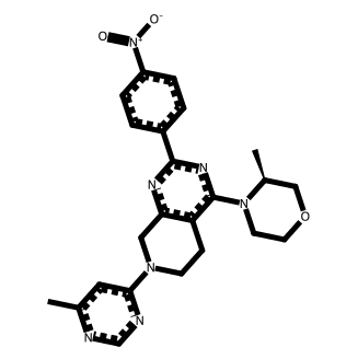 Cc1cc(N2CCc3c(nc(-c4ccc([N+](=O)[O-])cc4)nc3N3CCOC[C@@H]3C)C2)ncn1